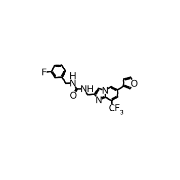 O=C(NCc1cccc(F)c1)NCc1cn2cc(-c3ccoc3)cc(C(F)(F)F)c2n1